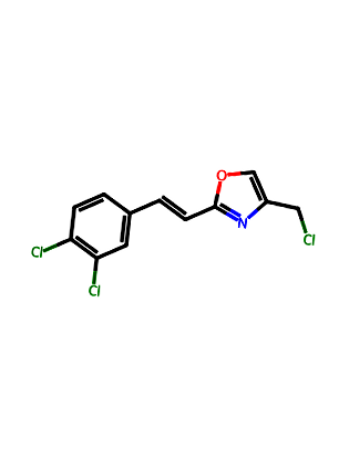 ClCc1coc(/C=C/c2ccc(Cl)c(Cl)c2)n1